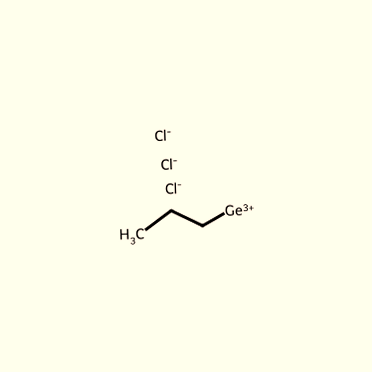 CC[CH2][Ge+3].[Cl-].[Cl-].[Cl-]